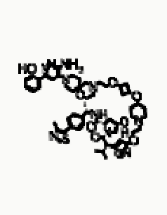 Cc1ncsc1-c1ccc([C@H](C)NC(=O)[C@@H]2C[C@@H](O)CN2C(=O)[C@@H](c2cc(OCCN3CCC(O[C@H]4C[C@H](OCCN5CCOC6(CCN(c7cc(-c8ccccc8O)nnc7N)CC6)C5)C4)CC3)no2)C(C)C)cc1